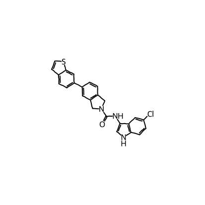 O=C(Nc1c[nH]c2ccc(Cl)cc12)N1Cc2ccc(-c3ccc4ccsc4c3)cc2C1